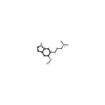 CCOc1cc2cc[nH]c2cc1CCCN(C)C